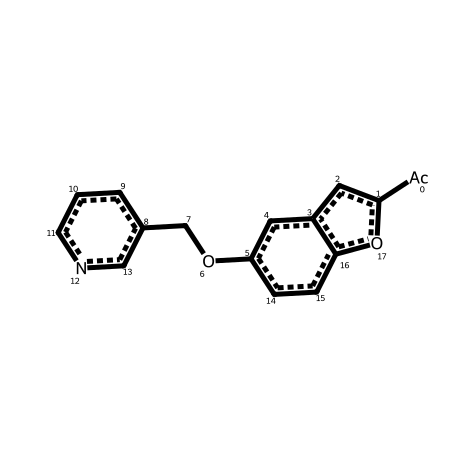 CC(=O)c1cc2cc(OCc3cccnc3)ccc2o1